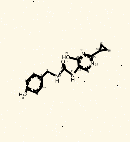 O=C(N[CH]c1ccc(O)cc1)Nc1cnc(C2CC2)nc1O